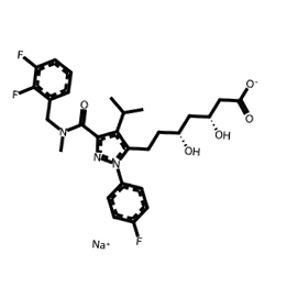 CC(C)c1c(C(=O)N(C)Cc2cccc(F)c2F)nn(-c2ccc(F)cc2)c1CC[C@@H](O)C[C@@H](O)CC(=O)[O-].[Na+]